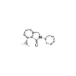 CN(C)c1cccc2c1C(=O)N(c1ccccc1)C2